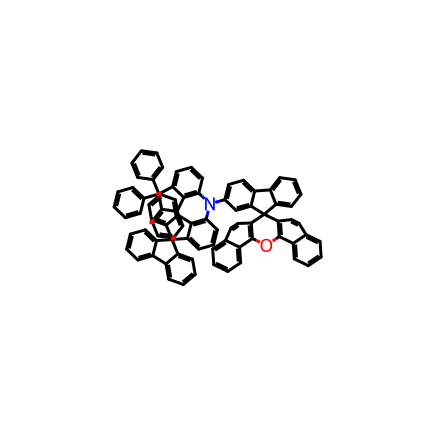 c1ccc(C2(c3ccccc3)c3ccccc3-c3c(N(c4ccc5c(c4)C4(c6ccccc6-5)c5ccc6ccccc6c5Oc5c4ccc4ccccc54)c4cccc5c4-c4ccccc4C54c5ccccc5-c5ccccc54)cccc32)cc1